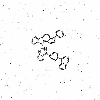 c1ccc(-n2ccc3c2ccc2c4ccccc4n(-c4nc(-c5ccc(-c6cccc7ccccc67)cc5)c5ccsc5n4)c23)cc1